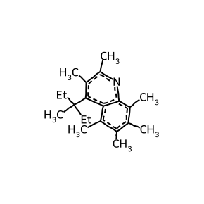 CCC(C)(CC)c1c(C)c(C)nc2c(C)c(C)c(C)c(C)c12